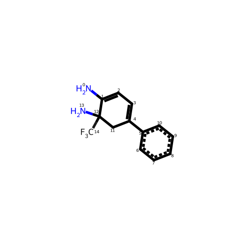 NC1=CC=C(c2ccccc2)CC1(N)C(F)(F)F